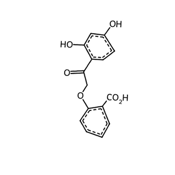 O=C(COc1ccccc1C(=O)O)c1ccc(O)cc1O